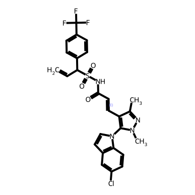 C=CC(c1ccc(C(F)(F)F)cc1)S(=O)(=O)NC(=O)/C=C/c1c(C)nn(C)c1-n1ccc2cc(Cl)ccc21